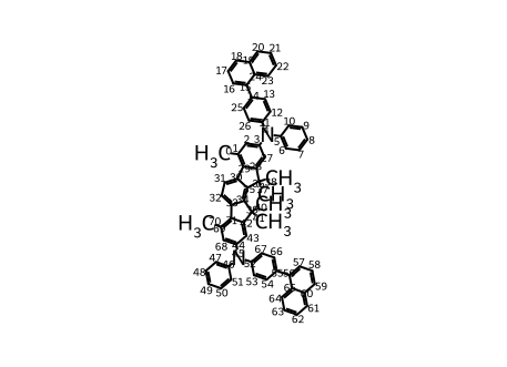 Cc1cc(N(c2ccccc2)c2ccc(-c3cccc4ccccc34)cc2)cc2c1-c1ccc3c(c1C2(C)C)C(C)(C)c1cc(N(c2ccccc2)c2ccc(-c4cccc5ccccc45)cc2)cc(C)c1-3